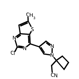 Cc1cc2nc(Cl)nc(-c3cnn(C4(CC#N)CCC4)c3)c2s1